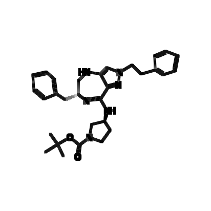 CC(C)(C)OC(=O)N1CC[C@H](NC2=N[C@H](Cc3ccccc3)CNc3cn(CCc4ccccc4)nc32)C1